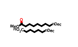 CCCCCCCCCCCCCCCC(=O)O.CCCCCCCCCCCCCCCCCC(=O)OC